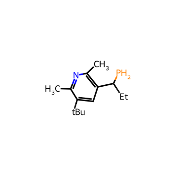 CCC(P)c1cc(C(C)(C)C)c(C)nc1C